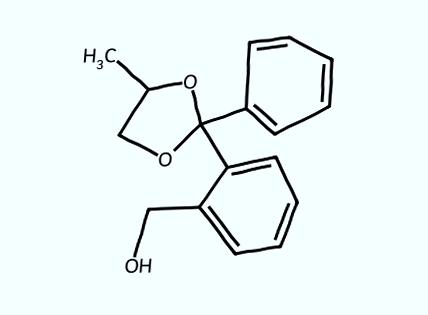 CC1COC(c2ccccc2)(c2ccccc2CO)O1